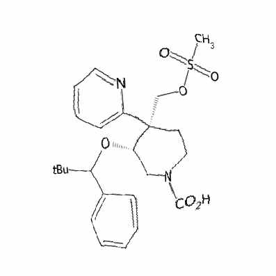 CC(C)(C)C(O[C@H]1CN(C(=O)O)CC[C@]1(COS(C)(=O)=O)c1ccccn1)c1ccccc1